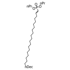 CCCCCCCCCCCCCCCCCCCCCCCCCCCC/C=C/P(=O)(OCCC)OCCC